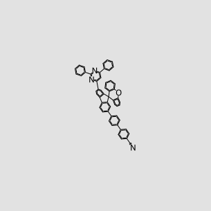 N#Cc1ccc(-c2ccc(-c3ccc4c(c3)C3(c5ccccc5Oc5ccccc53)c3cc(-c5cc(-c6ccccc6)nc(-c6ccccc6)n5)ccc3-4)cc2)cc1